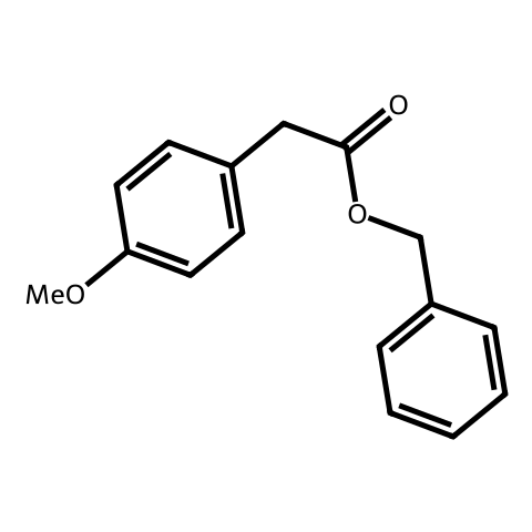 COc1ccc(CC(=O)OCc2ccccc2)cc1